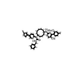 COc1cc(F)ccc1-c1nc(N[C@@H]2CCCCC[C@@H](N(C(=O)NCc3ccccc3)c3ccc(-c4cnn(C)c4)cn3)CCC2)ncc1C#N